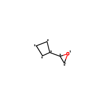 [CH]1OC1C1CCC1